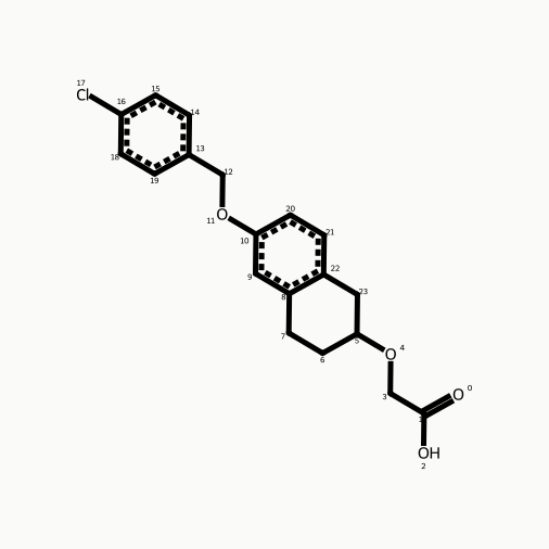 O=C(O)COC1CCc2cc(OCc3ccc(Cl)cc3)ccc2C1